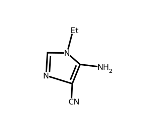 CCn1cnc(C#N)c1N